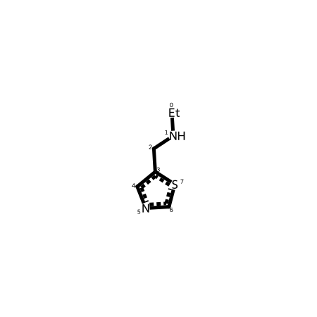 CCNCc1cncs1